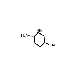 Br.N#C[C@H]1CC[C@H](N)CC1